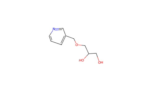 OCC(O)COCc1cccnc1